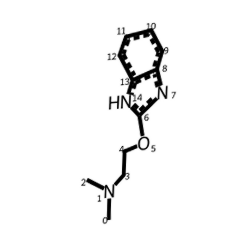 CN(C)CCOc1nc2ccccc2[nH]1